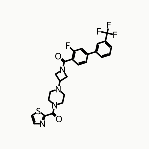 O=C(c1nccs1)N1CCN(C2CN(C(=O)c3ccc(-c4cccc(C(F)(F)F)c4)cc3F)C2)CC1